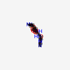 CN(C)c1ccc(N=Nc2ccc(C(=O)NCCCCCC(=O)NC3C(=O)N4C(C(=O)O)=C(COc5ccc6nc(C#N)sc6c5)CSC34)cc2)cc1